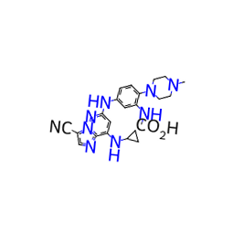 CN1CCN(c2ccc(Nc3cc(NC4CC4)c4ncc(C#N)n4n3)cc2NC(=O)O)CC1